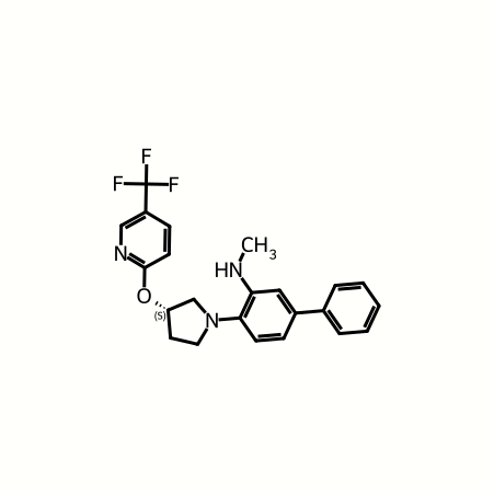 CNc1cc(-c2ccccc2)ccc1N1CC[C@H](Oc2ccc(C(F)(F)F)cn2)C1